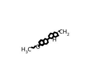 C=C[C@@H]1CC[C@@H]2CC(C3CCc4cc(OCCCC)ccc4C3)CCC2C1